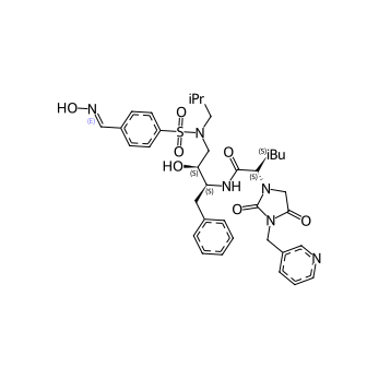 CC[C@H](C)[C@@H](C(=O)N[C@@H](Cc1ccccc1)[C@@H](O)CN(CC(C)C)S(=O)(=O)c1ccc(/C=N/O)cc1)N1CC(=O)N(Cc2cccnc2)C1=O